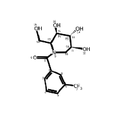 O=C(c1cccc(C(F)(F)F)c1)N1C[C@H](O)[C@@H](O)[C@H](O)C1CO